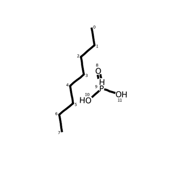 CCCCCCCC.O=[PH](O)O